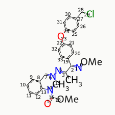 CO/N=C(/C(C)=N/N=C/c1ccccc1N(C)C(=O)OC)c1ccc(Oc2ccc(CCl)cc2)cc1